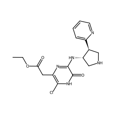 CCOC(=O)Cc1nc(N[C@H]2CNC[C@@H]2c2ccccn2)c(=O)[nH]c1Cl